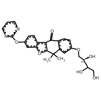 CC1(C)c2cc(OC[C@@H](O)C(O)CO)ccc2C(=O)c2c1oc1cc(Oc3ncccn3)ccc21